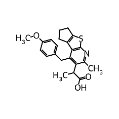 COc1ccc(Cc2c(C(C)C(=O)O)c(C)nc3sc4c(c23)CCC4)cc1